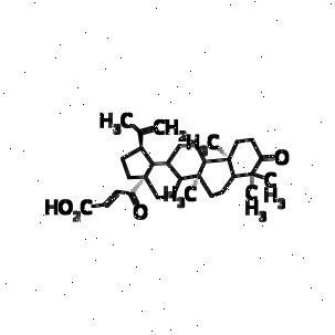 C=C(C)[C@@H]1CC[C@]2(C(=O)/C=C/C(=O)O)CCC3C(CCC4[C@@]3(C)CCC3C(C)(C)C(=O)CC[C@@]34C)C12